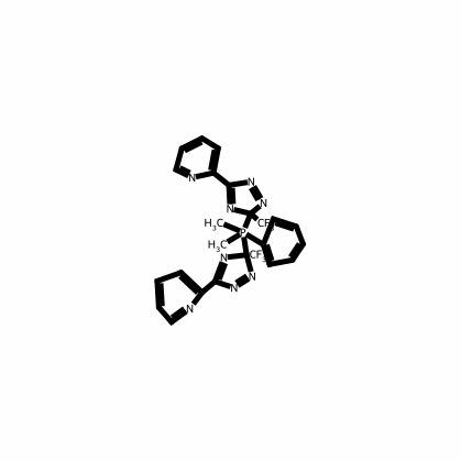 CP(C)(c1ccccc1)(C1(C(F)(F)F)N=NC(c2ccccn2)=N1)C1(C(F)(F)F)N=NC(c2ccccn2)=N1